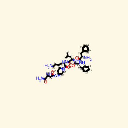 CC(C)C[C@@H](NC(=O)[C@@H](Cc1ccccc1)NC(=O)[C@H](N)Cc1ccccc1)C(=O)N[C@H](CCCCN)C(=O)N1CCC(NC(=O)C[C@H](N)C(N)=O)CC1